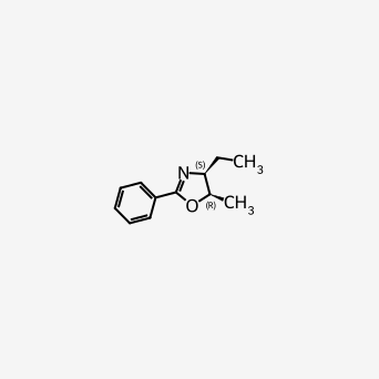 CC[C@@H]1N=C(c2ccccc2)O[C@@H]1C